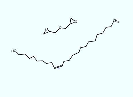 C(OCC1CO1)C1CO1.CCCCCCCCCCCCC/C=C\CCCCCCCCO